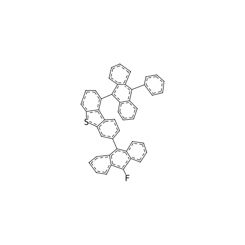 Fc1c2ccccc2c(-c2ccc3c(c2)sc2cccc(-c4c5ccccc5c(-c5ccccc5)c5ccccc45)c23)c2ccccc12